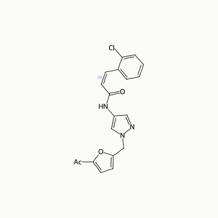 CC(=O)c1ccc(Cn2cc(NC(=O)/C=C\c3ccccc3Cl)cn2)o1